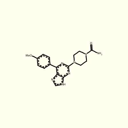 COc1ccc(-c2nc(N3CCN(C(N)=O)CC3)nc3[nH]cnc23)cc1